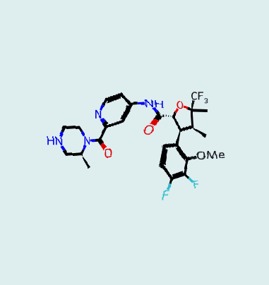 COc1c([C@H]2[C@H](C(=O)Nc3ccnc(C(=O)N4CCNC[C@@H]4C)c3)O[C@@](C)(C(F)(F)F)[C@H]2C)ccc(F)c1F